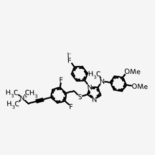 COc1ccc(N(C)c2cnc(SCc3c(F)cc(C#CC[N+](C)(C)C)cc3F)n2-c2ccc(F)cc2)cc1OC.[I-]